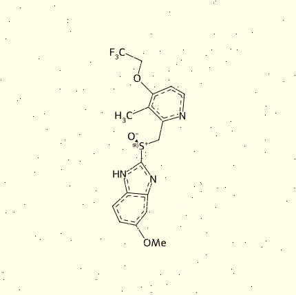 COc1ccc2[nH]c([S@@+]([O-])Cc3nccc(OCC(F)(F)F)c3C)nc2c1